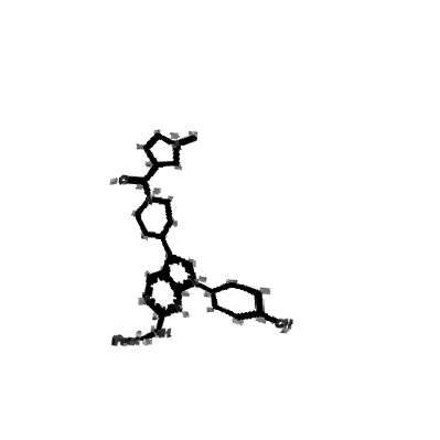 CCC[C@H](C)Nc1ncc2c(C3CCN(C(=O)C4CCN(C)C4)CC3)cn(C3CCC(O)CC3)c2n1